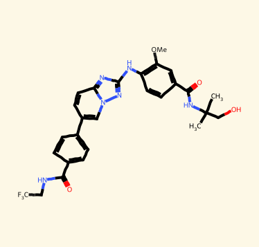 COc1cc(C(=O)NC(C)(C)CO)ccc1Nc1nc2ccc(-c3ccc(C(=O)NCC(F)(F)F)cc3)cn2n1